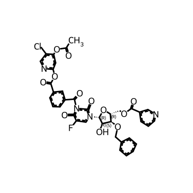 CC(=O)Oc1cc(OC(=O)c2cccc(C(=O)n3c(=O)c(F)cn([C@@H]4O[C@H](COC(=O)c5cccnc5)[C@@H](OCc5ccccc5)[C@H]4O)c3=O)c2)ncc1Cl